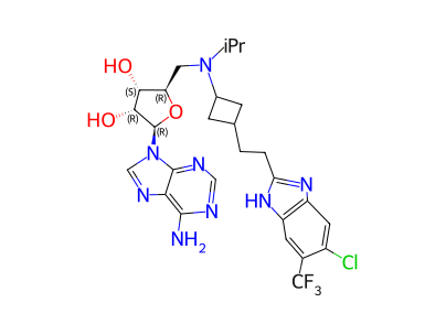 CC(C)N(C[C@H]1O[C@@H](n2cnc3c(N)ncnc32)[C@H](O)[C@@H]1O)C1CC(CCc2nc3cc(Cl)c(C(F)(F)F)cc3[nH]2)C1